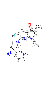 NC1(c2cccnc2)CCN(c2nc3c(cc2F)c(=O)c(C(=O)O)cn3C2CC2)C1